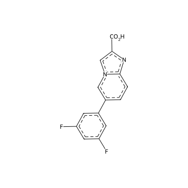 O=C(O)c1cn2cc(-c3cc(F)cc(F)c3)ccc2n1